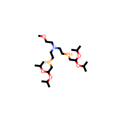 COCCN(CCPCC(OC(C)C)OC(C)C)CCPCC(OC(C)C)OC(C)C